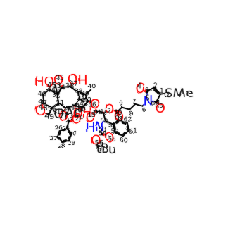 CSC1=CC(=O)N(CCCCC(=O)O[C@@H](C(=O)O[C@H]2C[C@@]3(O)[C@@H](OC(=O)c4ccccc4)C4C(C)(C(=O)[C@H](O)C(=C2C)C3(C)C)[C@@H](O)CC2OC[C@]24OC(C)=O)[C@@H](NC(=O)OC(C)(C)C)c2ccccc2)C1=O